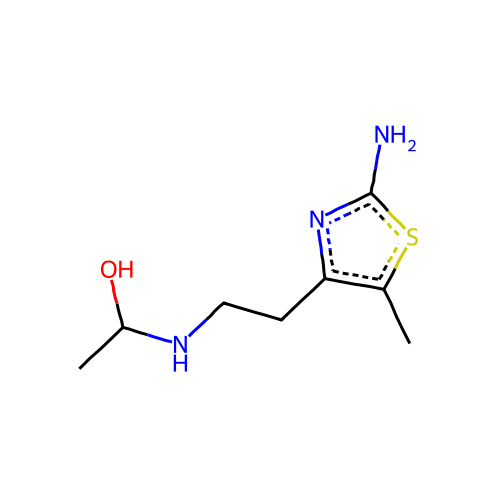 Cc1sc(N)nc1CCNC(C)O